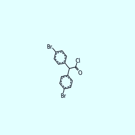 O=C(Cl)C(c1ccc(Br)cc1)c1ccc(Br)cc1